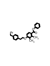 Cc1c(OCCc2ccc(CC(C)C)cc2)ccc(C(=O)Oc2ccccc2)c1C